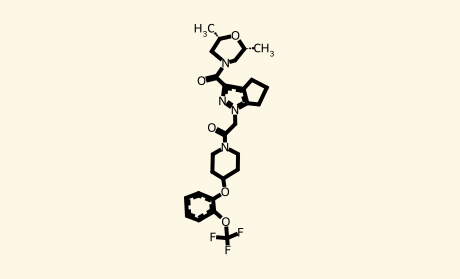 C[C@@H]1CN(C(=O)c2nn(CC(=O)N3CCC(Oc4ccccc4OC(F)(F)F)CC3)c3c2CCC3)C[C@H](C)O1